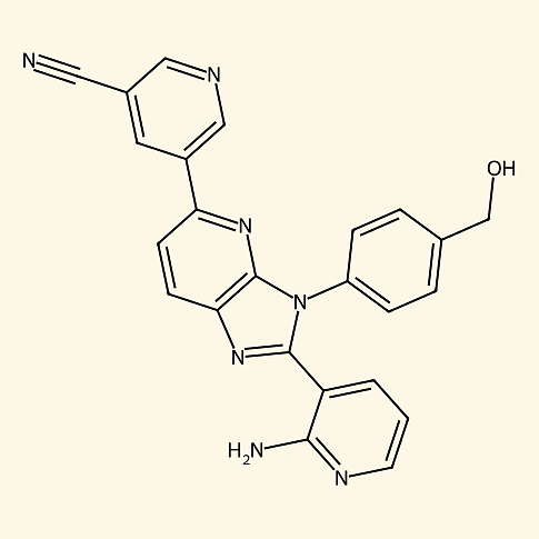 N#Cc1cncc(-c2ccc3nc(-c4cccnc4N)n(-c4ccc(CO)cc4)c3n2)c1